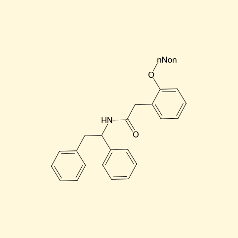 CCCCCCCCCOc1ccccc1CC(=O)NC(Cc1ccccc1)c1ccccc1